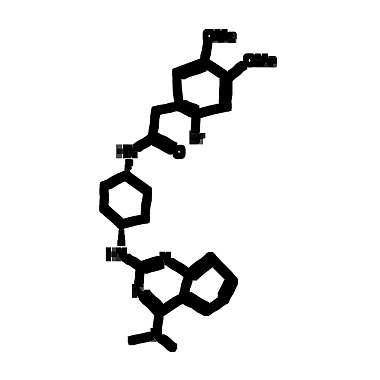 COc1cc(Br)c(CC(=O)N[C@H]2CC[C@@H](Nc3nc(N(C)C)c4ccccc4n3)CC2)cc1OC